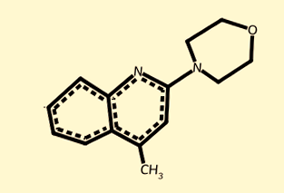 Cc1cc(N2CCOCC2)nc2c[c]ccc12